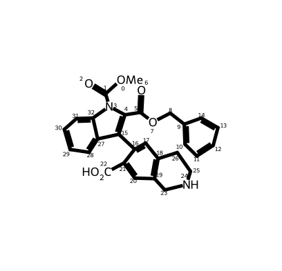 COC(=O)n1c(C(=O)OCc2ccccc2)c(-c2cc3c(cc2C(=O)O)CNCC3)c2ccccc21